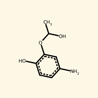 CC(O)Oc1cc(N)ccc1O